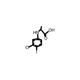 CC(Nc1ccc(I)c(Cl)c1)C(=O)O